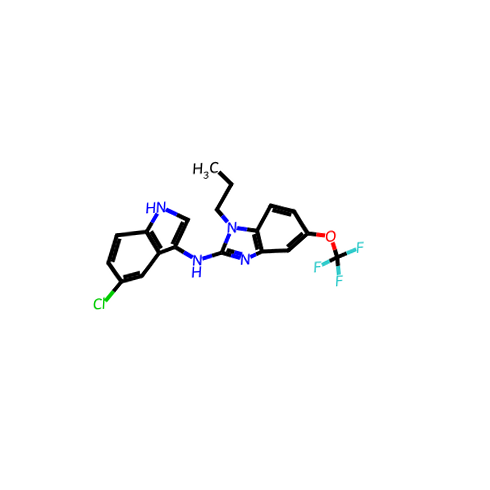 CCCn1c(Nc2c[nH]c3ccc(Cl)cc23)nc2cc(OC(F)(F)F)ccc21